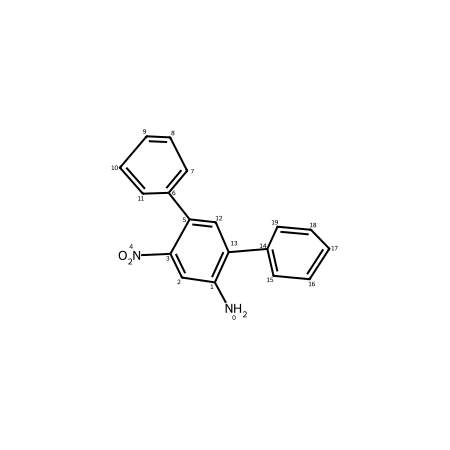 Nc1cc([N+](=O)[O-])c(-c2ccccc2)cc1-c1ccccc1